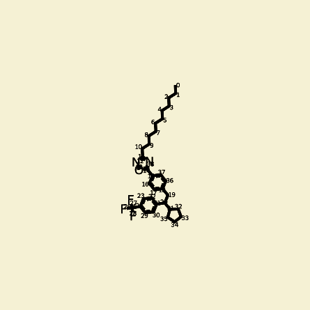 CCCCCCCCCCCc1noc(-c2ccc([CH]C(c3ccc(C(F)(F)F)cc3)C3CCCC3)cc2)n1